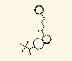 O=C(N1CCc2cccc(NCCOc3ccccc3)c2CC1)C(F)(F)F